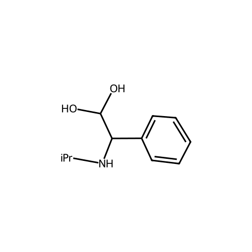 CC(C)NC(c1ccccc1)C(O)O